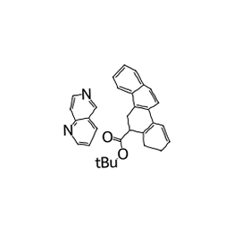 CC(C)(C)OC(=O)C1Cc2c(ccc3ccccc23)C2=C1CCC=C2.c1cnc2ccncc2c1